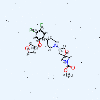 CC(C)(C)OC(=O)N1CC2(C[C@H](N3CCC(c4cc(F)c(F)cc4O[C@@H]4CCOC4)CC3)CO2)C1